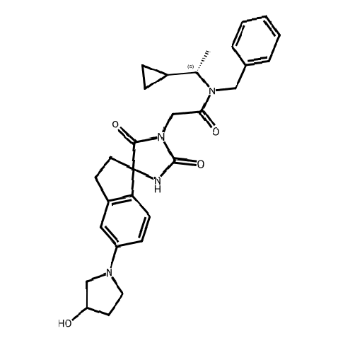 C[C@@H](C1CC1)N(Cc1ccccc1)C(=O)CN1C(=O)NC2(CCc3cc(N4CCC(O)C4)ccc32)C1=O